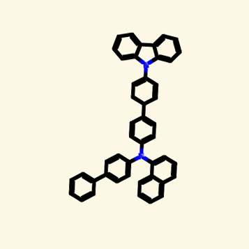 C1=CC(c2ccc(N(c3ccc(-c4ccccc4)cc3)c3cccc4ccccc34)cc2)CC=C1n1c2ccccc2c2ccccc21